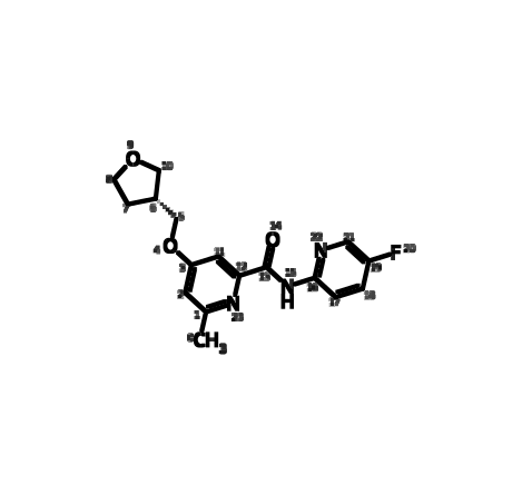 Cc1cc(OC[C@@H]2CCOC2)cc(C(=O)Nc2ccc(F)cn2)n1